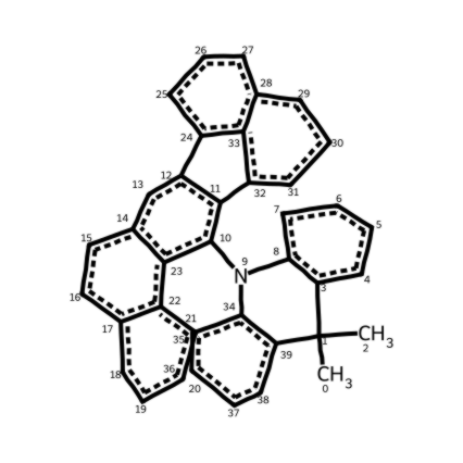 CC1(C)c2ccccc2N(c2c3c(cc4ccc5ccccc5c24)-c2cccc4cccc-3c24)c2ccccc21